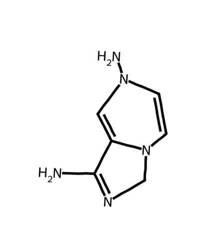 NC1=NCN2C=CN(N)C=C12